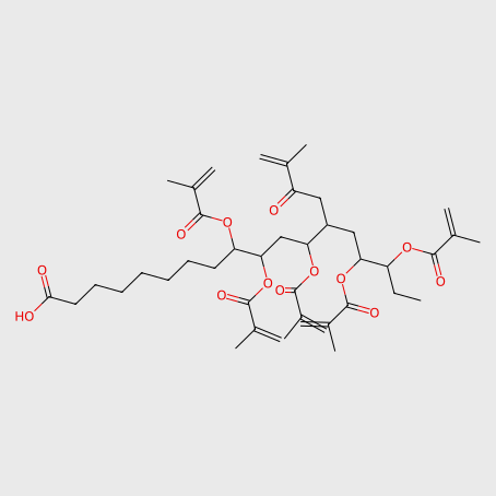 C=C(C)C(=O)CC(CC(OC(=O)C(=C)C)C(CC)OC(=O)C(=C)C)C(CC(OC(=O)C(=C)C)C(CCCCCCCC(=O)O)OC(=O)C(=C)C)OC(=O)C(=C)C